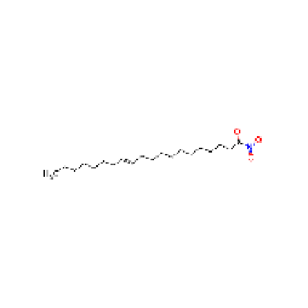 CCCCCCCC=CCCCCCCCCCCC(=O)[N+](=O)[O-]